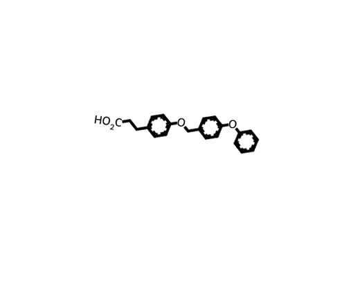 O=C(O)CCc1ccc(OCc2ccc(Oc3ccccc3)cc2)cc1